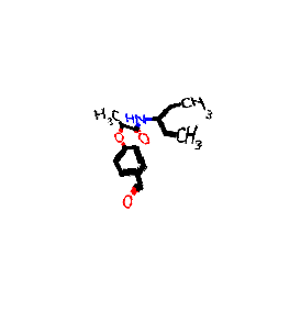 CCC(CC)NC(=O)C(C)Oc1ccc(C=O)cc1